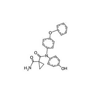 NC(=O)C1(C(=O)N(c2ccc(O)cc2)c2ccc(Oc3ccccc3)cc2)CC1